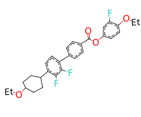 CCOc1ccc(OC(=O)c2ccc(-c3ccc(C4CCC(OCC)CC4)c(F)c3F)cc2)cc1F